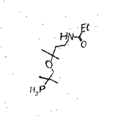 CCC(=O)NCCC(C)(C)OCC(C)(C)P